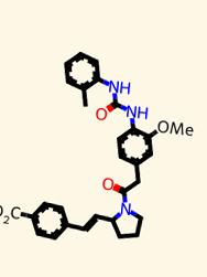 COc1cc(CC(=O)N2CCCC2C=Cc2ccc(C(=O)O)cc2)ccc1NC(=O)Nc1ccccc1C